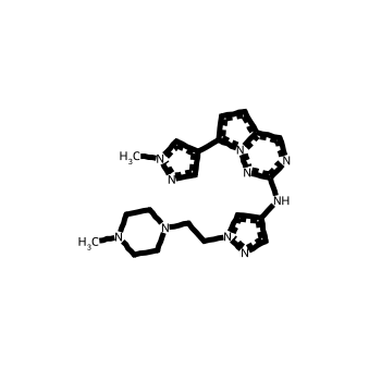 CN1CCN(CCn2cc(Nc3ncc4ccc(-c5cnn(C)c5)n4n3)cn2)CC1